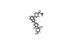 CC(C)N1CCC(O)(C2C=CC(c3cc4c(N5CCN(C(=O)C6CC6)CC5)ccnn4c3)=CC2F)CC1